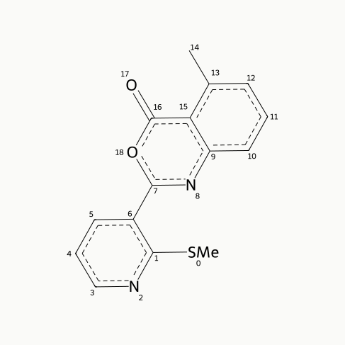 CSc1ncccc1-c1nc2cccc(C)c2c(=O)o1